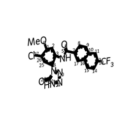 COc1cc(NC(=O)c2ccc3cc(C(F)(F)F)ccc3c2)c(-n2nn[nH]c2=O)cc1Cl